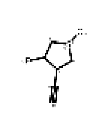 C#CC1C[S+]([O-])CC1F